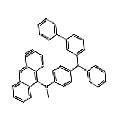 CN(c1ccc(N(c2ccccc2)c2cccc(-c3ccccc3)c2)cc1)c1c2ccc#cc2cc2ccccc12